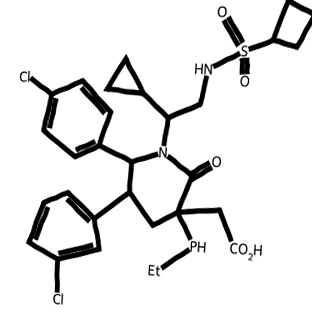 CCPC1(CC(=O)O)CC(c2cccc(Cl)c2)C(c2ccc(Cl)cc2)N(C(CNS(=O)(=O)C2CCC2)C2CC2)C1=O